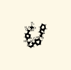 CCC(C)(C)NC(=O)c1ccc(Nc2nccc(-c3cccc(NC(=O)c4cc5c(s4)CCCC5)c3C)n2)cc1